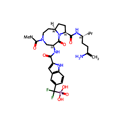 C=C(N)CC[C@H](NC(=O)[C@@H]1CC[C@@H]2CCN(C(=O)NC)C[C@H](NC(=O)c3cc4cc(C(F)(F)P(=O)(O)O)ccc4[nH]3)C(=O)N21)C(C)C